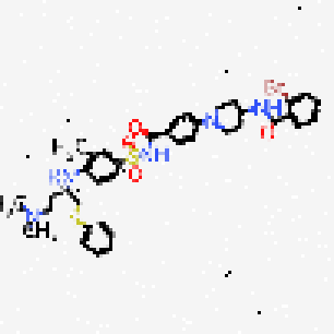 Cc1cc(S(=O)(=O)NC(=O)c2ccc(N3CCC(NC(=O)c4ccccc4Br)CC3)cc2)ccc1N[C@H](CCN(C)C)CSc1ccccc1